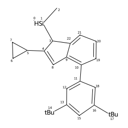 C[SiH](C)C1C(C2CC2)=Cc2c(-c3cc(C(C)(C)C)cc(C(C)(C)C)c3)cccc21